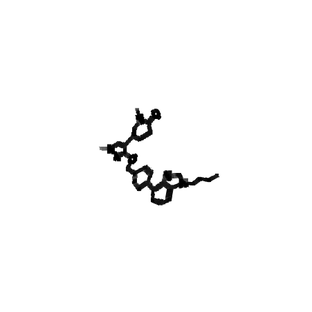 CCCCn1cnc2c(-c3ccc(COc4nn(C)cc4-c4ccc(=O)n(C)c4)cc3)cccc21